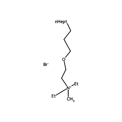 CCCCCCCCCCOCC[N+](C)(CC)CC.[Br-]